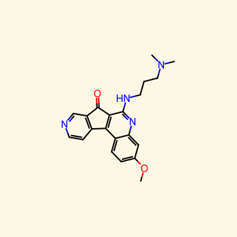 COc1ccc2c3c(c(NCCCN(C)C)nc2c1)C(=O)c1cnccc1-3